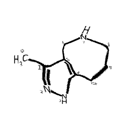 Cc1n[nH]c2c1CNCCC2